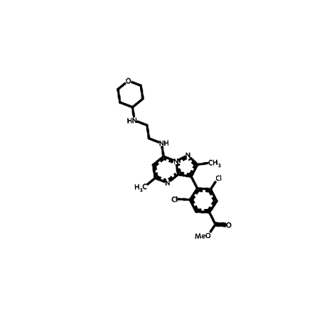 COC(=O)c1cc(Cl)c(-c2c(C)nn3c(NCCNC4CCOCC4)cc(C)nc23)c(Cl)c1